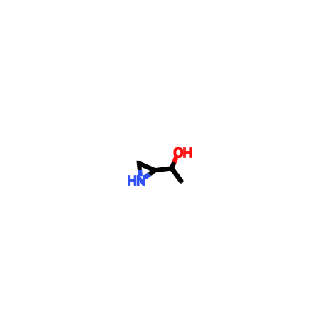 CC(O)C1CN1